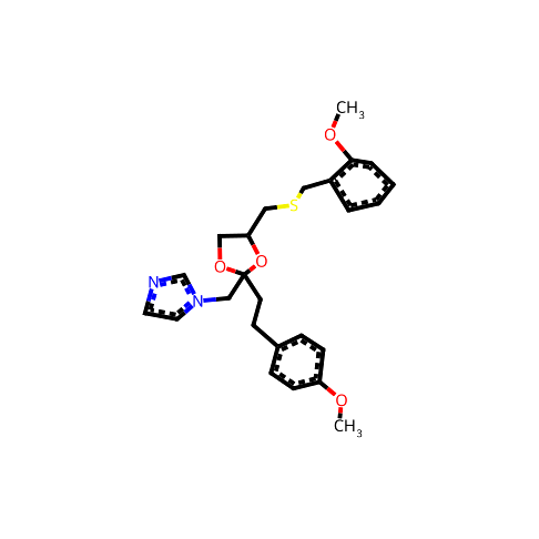 COc1ccc(CCC2(Cn3ccnc3)OCC(CSCc3ccccc3OC)O2)cc1